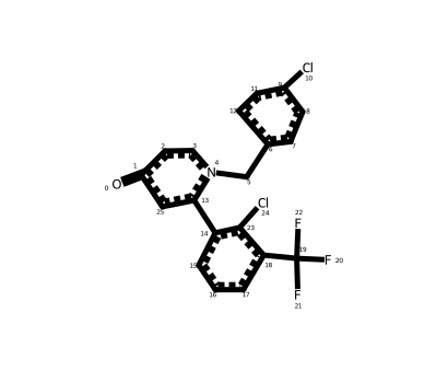 O=c1ccn(Cc2ccc(Cl)cc2)c(-c2cccc(C(F)(F)F)c2Cl)c1